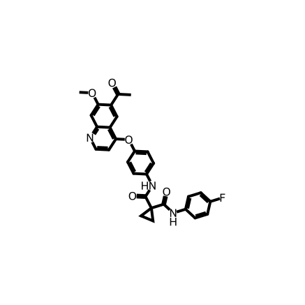 COc1cc2nccc(Oc3ccc(NC(=O)C4(C(=O)Nc5ccc(F)cc5)CC4)cc3)c2cc1C(C)=O